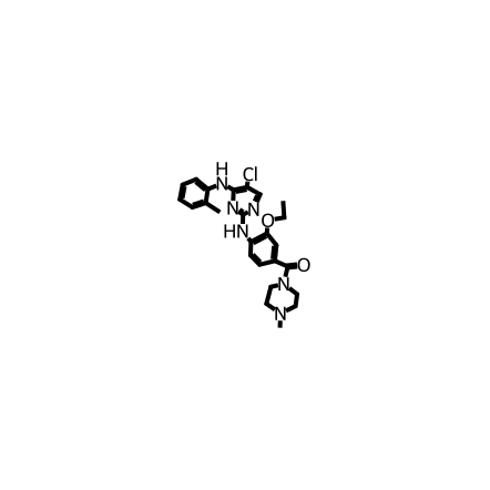 CCOc1cc(C(=O)N2CCN(C)CC2)ccc1Nc1ncc(Cl)c(Nc2ccccc2C)n1